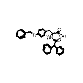 O=C(N[C@@H](Cc1ccc(OCc2ccccc2)cc1)C(=O)O)C(c1ccccc1)c1ccccc1